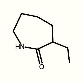 CCC1CCCCNC1=O